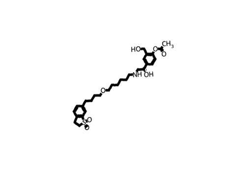 CC(=O)Oc1ccc([C@@H](O)CNCCCCCCOCCCCc2ccc3c(c2)S(=O)(=O)CC3)cc1CO